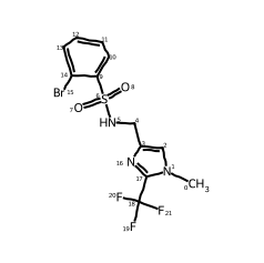 Cn1cc(CNS(=O)(=O)c2ccccc2Br)nc1C(F)(F)F